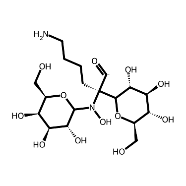 NCCCC[C@]([C]=O)(C1O[C@H](CO)[C@@H](O)[C@H](O)[C@H]1O)N(O)C1O[C@H](CO)[C@H](O)[C@H](O)[C@H]1O